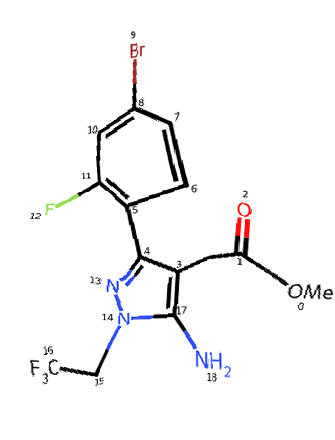 COC(=O)c1c(-c2ccc(Br)cc2F)nn(CC(F)(F)F)c1N